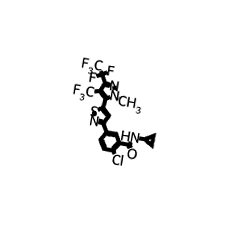 Cn1nc(C(F)(F)C(F)(F)F)c(C(F)(F)F)c1-c1cc(-c2ccc(Cl)c(C(=O)NC3CC3)c2)ns1